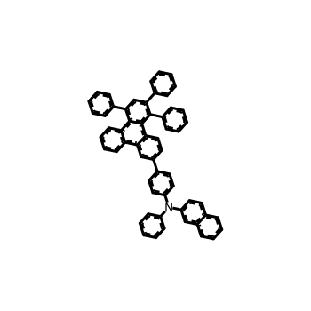 c1ccc(-c2cc(-c3ccccc3)c3c4ccccc4c4cc(-c5ccc(N(c6ccccc6)c6ccc7ccccc7c6)cc5)ccc4c3c2-c2ccccc2)cc1